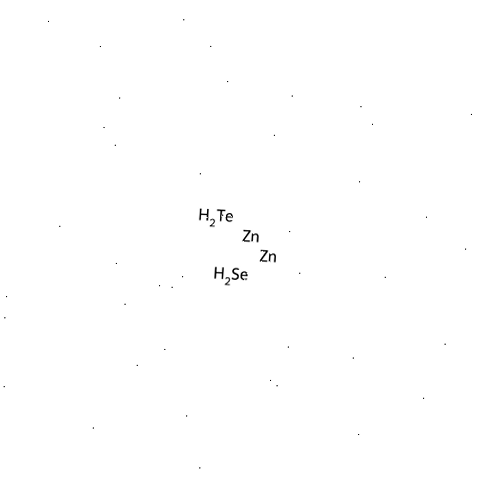 [SeH2].[TeH2].[Zn].[Zn]